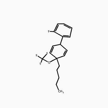 CCCCCC1(OC(F)(F)F)C=CC(c2ccccc2F)C=C1